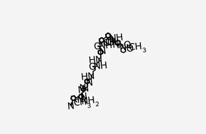 COC(=O)[C@@H]1CCCCN1Cc1ccc(C(=O)Nc2cccc(-c3cccc(NC(=O)c4ccc(CNCCNC(=O)CCCNCc5cccc(Cn6cc(-c7cc(-c8cccc(C#N)c8C)nc(N)n7)nn6)n5)cn4)c3C)c2Cl)nc1